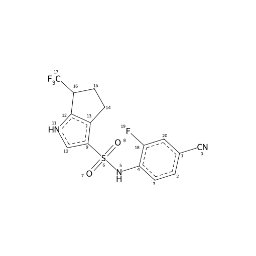 N#Cc1ccc(NS(=O)(=O)c2c[nH]c3c2CCC3C(F)(F)F)c(F)c1